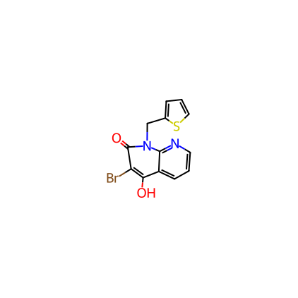 O=c1c(Br)c(O)c2cccnc2n1Cc1cccs1